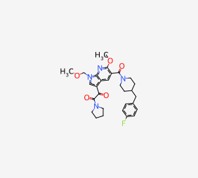 COCn1cc(C(=O)C(=O)N2CCCC2)c2cc(C(=O)N3CCC(Cc4ccc(F)cc4)CC3)c(OC)nc21